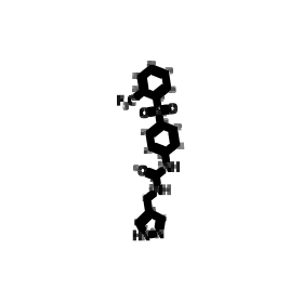 O=C(NCc1cn[nH]c1)Nc1ccc(S(=O)(=O)c2ccccc2C(F)(F)F)cc1